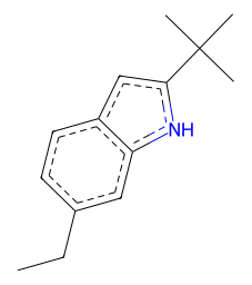 CCc1ccc2cc(C(C)(C)C)[nH]c2c1